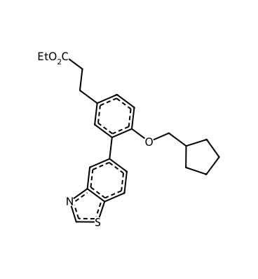 CCOC(=O)CCc1ccc(OCC2CCCC2)c(-c2ccc3scnc3c2)c1